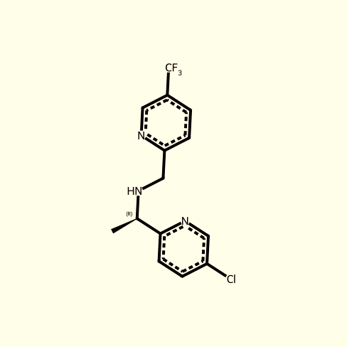 C[C@@H](NCc1ccc(C(F)(F)F)cn1)c1ccc(Cl)cn1